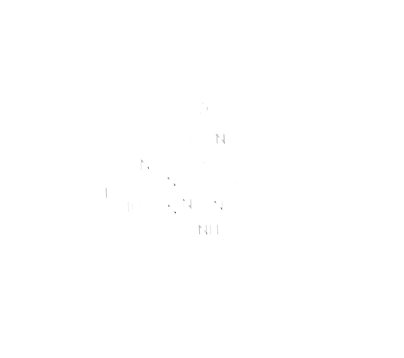 Cn1cc(-c2c(-c3ccccc3)nc(N)n3nc([C@H](O)c4ncccc4F)nc23)ccc1=O